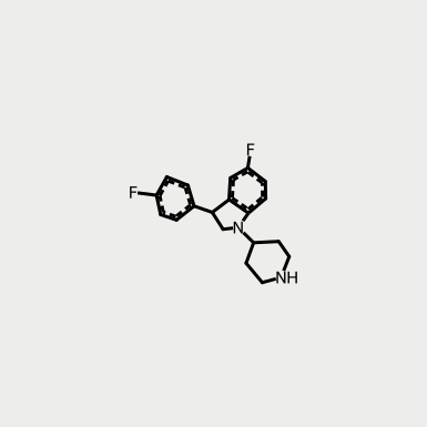 Fc1ccc(C2CN(C3CCNCC3)c3ccc(F)cc32)cc1